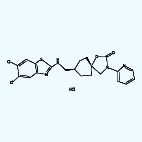 Cl.O=C1O[C@]2(CC[C@H](CNc3nc4cc(Cl)c(Cl)cc4s3)CC2)CN1c1ccccn1